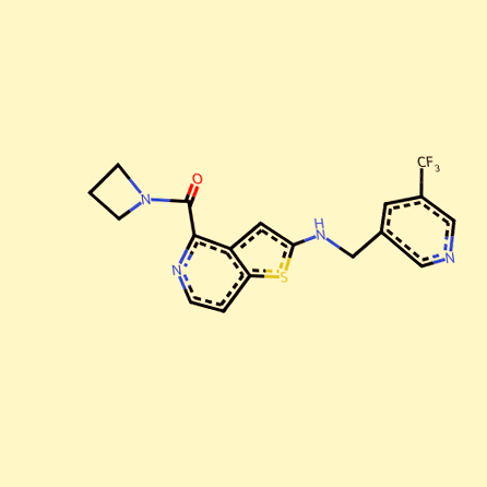 O=C(c1nccc2sc(NCc3cncc(C(F)(F)F)c3)cc12)N1CCC1